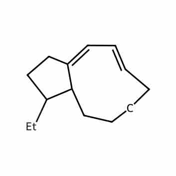 CCC1CC/C2=C/C=C/CCCCC21